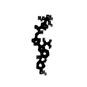 CN1CC[C@@H](Nc2cccc3c2cc(-c2noc(CNC(=O)c4cc(C(C)(C)C)on4)n2)n3C(F)C(F)F)[C@@H](F)C1